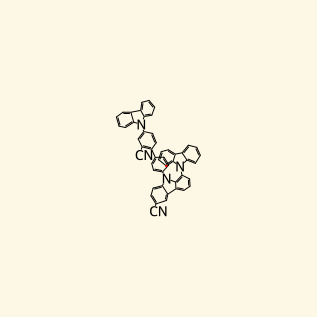 N#Cc1ccc2c(c1)c1cccc(-n3c4ccccc4c4ccccc43)c1n2-c1ccc(-c2ccc(-n3c4ccccc4c4ccccc43)cc2C#N)cc1